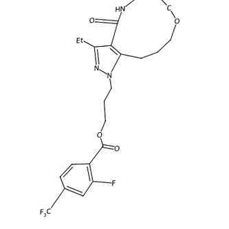 CCc1nn(CCCOC(=O)c2ccc(C(F)(F)F)cc2F)c2c1C(=O)NCCCOCCC2